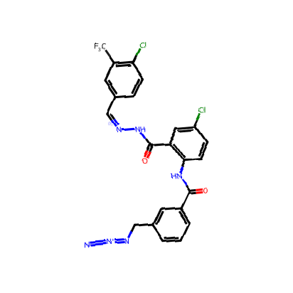 [N-]=[N+]=NCc1cccc(C(=O)Nc2ccc(Cl)cc2C(=O)N/N=C\c2ccc(Cl)c(C(F)(F)F)c2)c1